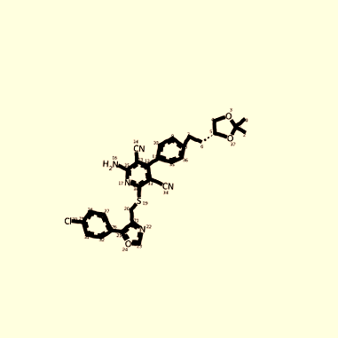 CC1(C)OC[C@@H](CCc2ccc(-c3c(C#N)c(N)nc(SCc4ncoc4-c4ccc(Cl)cc4)c3C#N)cc2)O1